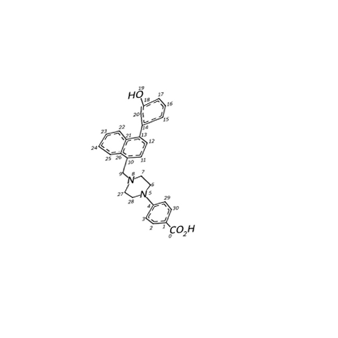 O=C(O)c1ccc(N2CCN(Cc3ccc(-c4cccc(O)c4)c4ccccc34)CC2)cc1